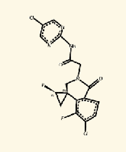 O=C(CN1C[C@]2(C[C@H]2F)c2c(ccc(Cl)c2F)C1=O)Nc1ncc(Cl)cn1